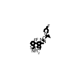 N#Cc1c(N)sc2ccc(F)c(-c3c4c(c5cnc(OCC6(CN7CCC(=CF)CC7)CC6)nc5c3F)COC4)c12